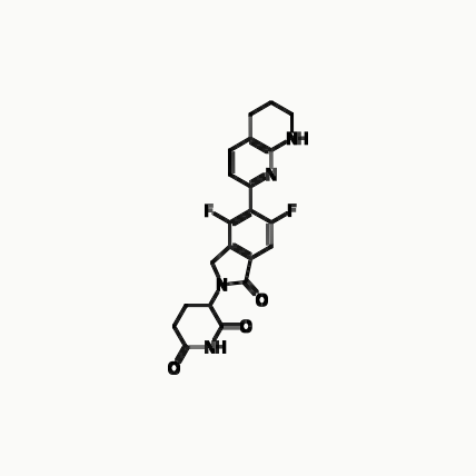 O=C1CCC(N2Cc3c(cc(F)c(-c4ccc5c(n4)NCCC5)c3F)C2=O)C(=O)N1